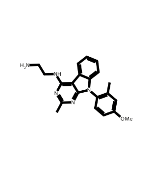 COc1ccc(-n2c3ccccc3c3c(NCCN)nc(C)nc32)c(C)c1